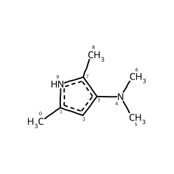 Cc1cc(N(C)C)c(C)[nH]1